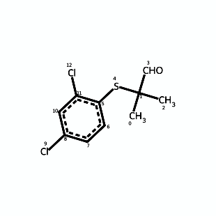 CC(C)(C=O)Sc1ccc(Cl)cc1Cl